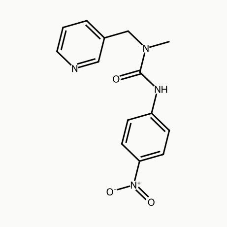 CN(Cc1cccnc1)C(=O)Nc1ccc([N+](=O)[O-])cc1